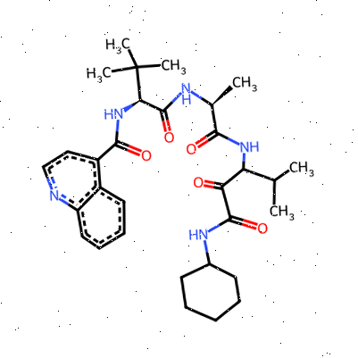 CC(C)C(NC(=O)[C@H](C)NC(=O)[C@@H](NC(=O)c1ccnc2ccccc12)C(C)(C)C)C(=O)C(=O)NC1CCCCC1